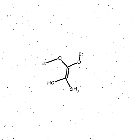 CCOC(OCC)=C(O)[SiH3]